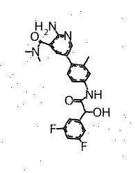 Cc1cc(NC(=O)C(O)c2cc(F)cc(F)c2)ccc1-c1cnc(N)c(C(=O)N(C)C)c1